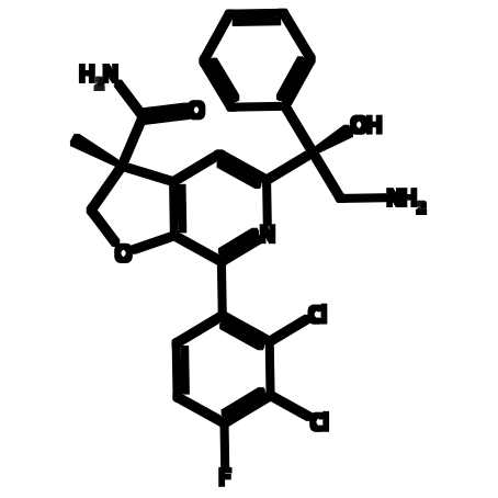 C[C@]1(C(N)=O)COc2c1cc([C@@](O)(CN)c1ccccc1)nc2-c1ccc(F)c(Cl)c1Cl